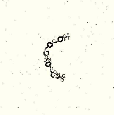 O=[N+]([O-])c1cn2c(n1)OC(COc1ccc3oc(N4CCN(Cc5ccc(OCc6ccc(OC(F)(F)F)cc6)cc5)CC4)nc3c1)CC2